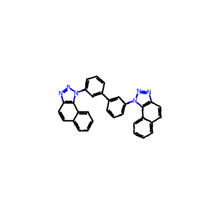 c1cc(-c2cccc(-n3nnc4ccc5ccccc5c43)c2)cc(-n2nnc3ccc4ccccc4c32)c1